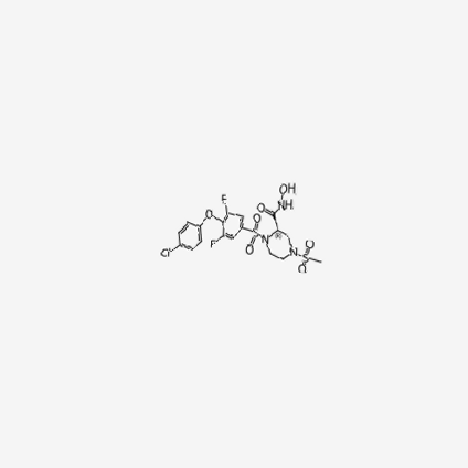 CS(=O)(=O)N1CCN(S(=O)(=O)c2cc(F)c(Oc3ccc(Cl)cc3)c(F)c2)[C@@H](C(=O)NO)C1